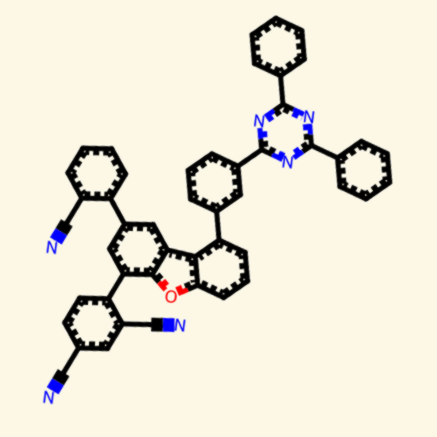 N#Cc1ccc(-c2cc(-c3ccccc3C#N)cc3c2oc2cccc(-c4cccc(-c5nc(-c6ccccc6)nc(-c6ccccc6)n5)c4)c23)c(C#N)c1